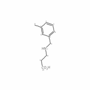 Cc1cccc(CNCCC(=O)O)c1